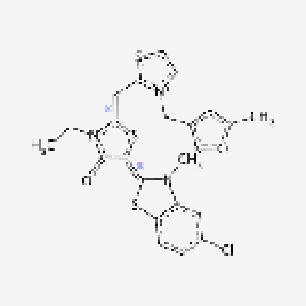 CCn1c(=O)/c(=C2\Sc3ccc(Cl)cc3N2C)s/c1=C\c1scc[n+]1Cc1cc(C)on1